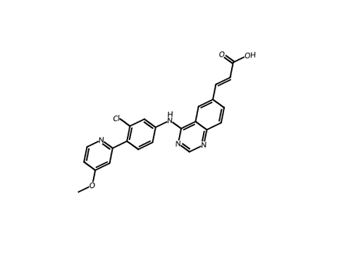 COc1ccnc(-c2ccc(Nc3ncnc4ccc(C=CC(=O)O)cc34)cc2Cl)c1